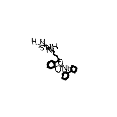 NC(=S)NN=CCCC(OC(=O)Nc1ccccc1-c1ccccc1)c1ccccc1